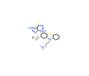 CN(C)CCCN1c2ccccc2Sc2ccc(C(F)(F)F)cc21.S=c1nc[nH]c2nc[nH]c12